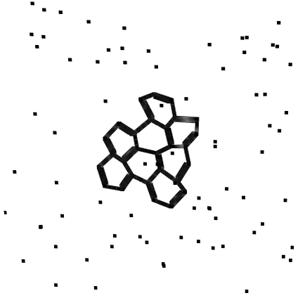 c1cc2ccc3cc4cccc5c6cccc7ccc8c(c1)c2c3c(c45)c8c76